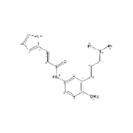 COc1ccc(NC(=O)/C=C/c2cccs2)cc1CCCN(C(C)C)C(C)C